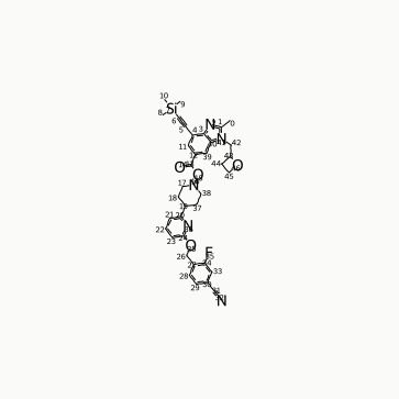 Cc1nc2c(C#C[Si](C)(C)C)cc(C(=O)ON3CCC(c4cccc(OCc5ccc(C#N)cc5F)n4)CC3)cc2n1CC1CCO1